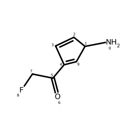 NC1C=CC(C(=O)CF)=C1